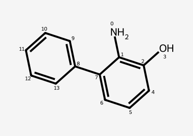 Nc1c(O)cccc1-c1ccccc1